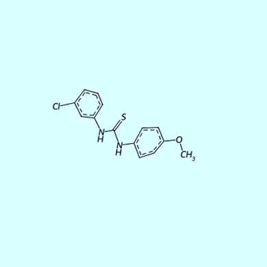 COc1ccc(NC(=S)Nc2cccc(Cl)c2)cc1